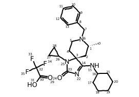 C[C@@H]1C[C@@]2(CCN1Cc1ccccc1)C(NC1CCCCC1)=NC(=O)N2C1CC1.O=C(O)C(F)(F)F